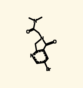 CN(C)C(=O)CN1Cc2ncc(Br)cc2C1=O